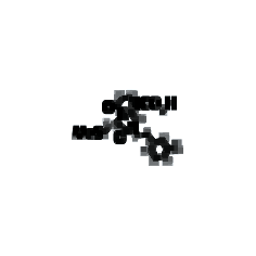 CSCC[C@H]1C(=O)N(CCc2cccc(F)c2)C=C2N(C(=O)O)CCC(=O)N21